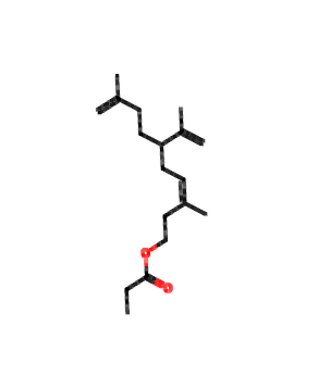 C=C(C)CCC(C/C=C(/C)CCOC(=O)CC)C(=C)C